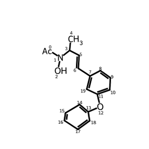 CC(=O)N(O)C(C)/C=C/c1cccc(Oc2ccccc2)c1